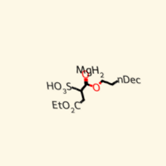 CCCCCCCCCCCCOC(=O)C(CC(=O)OCC)S(=O)(=O)O.[MgH2]